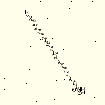 O=C(CCCCCCCCCCCCCCCCCCCCCCCCCCCCCCCCCCCI)NO